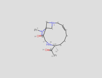 CC(C)NC12CN(CC=CCCC[C@@](C)(C(=O)C(C)C)NCC1=O)C2